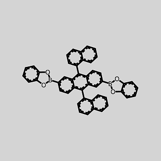 c1ccc2c(c1)OB(c1ccc3c(-c4cccc5ccccc45)c4cc(B5Oc6ccccc6O5)ccc4c(-c4cccc5ccccc45)c3c1)O2